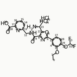 CCOc1cc(-c2nc(C(=O)NCc3cccc(C(=O)O)n3)c(C(C)N)o2)ccc1OC(F)F.Cl.Cl